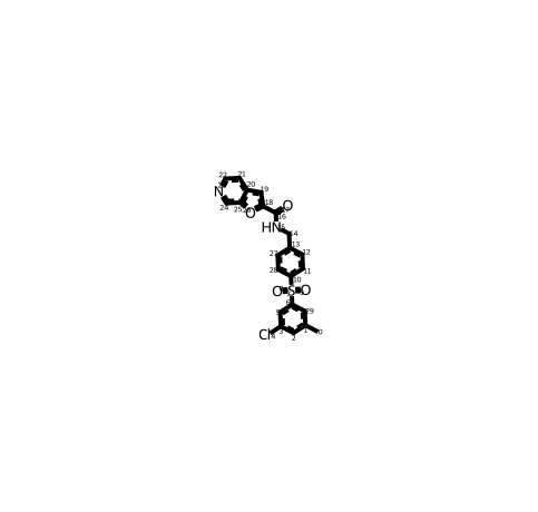 Cc1cc(Cl)cc(S(=O)(=O)c2ccc(CNC(=O)c3cc4ccncc4o3)cc2)c1